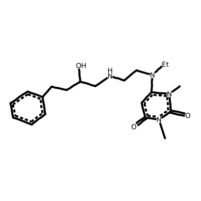 CCN(CCNCC(O)CCc1ccccc1)c1cc(=O)n(C)c(=O)n1C